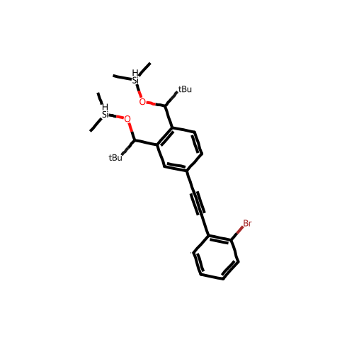 C[SiH](C)OC(c1ccc(C#Cc2[c]cccc2Br)cc1C(O[SiH](C)C)C(C)(C)C)C(C)(C)C